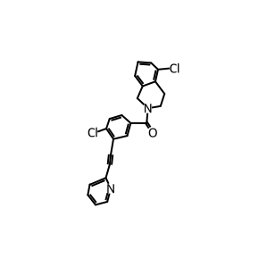 O=C(c1ccc(Cl)c(C#Cc2ccccn2)c1)N1CCc2c(Cl)cccc2C1